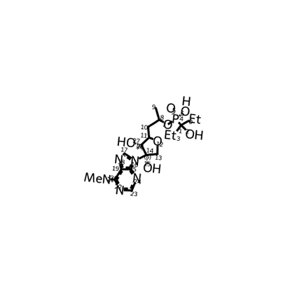 CCC(O)(CC)P(=O)(O)OC(C)CC1OC[C@@](O)(n2cnc3c(NC)ncnc32)[C@@H]1O